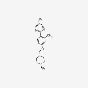 CCCc1cnc(-c2ccc(OC[C@H]3CC[C@H](CCC)CC3)cc2C)nc1